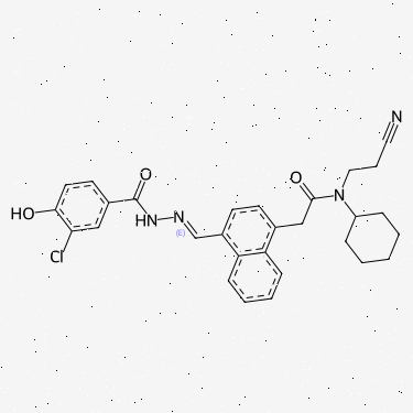 N#CCCN(C(=O)Cc1ccc(/C=N/NC(=O)c2ccc(O)c(Cl)c2)c2ccccc12)C1CCCCC1